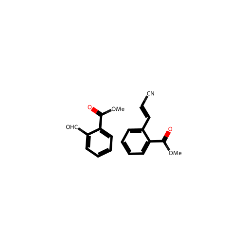 COC(=O)c1ccccc1C=CC#N.COC(=O)c1ccccc1C=O